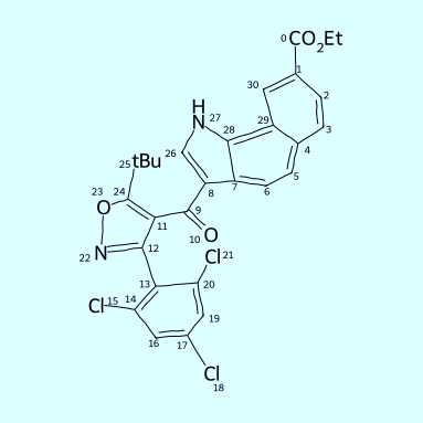 CCOC(=O)c1ccc2ccc3c(C(=O)c4c(-c5c(Cl)cc(Cl)cc5Cl)noc4C(C)(C)C)c[nH]c3c2c1